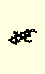 CCN(c1cc2oc(C)cc2c(C(=O)O)c1C)C1CCOCC1